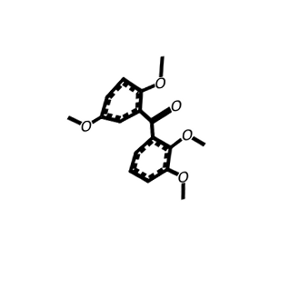 COc1ccc(OC)c(C(=O)c2cccc(OC)c2OC)c1